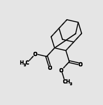 COC(=O)C1C2CC3CC(C2)CC1(C(=O)OC)C3